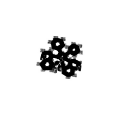 CC[Si]1(CC)C(c2ccnc3ccccc23)=C(c2ccccc2)C(c2ccccc2)=C1c1ccnc2ccccc12